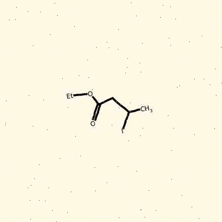 CCOC(=O)CC(C)I